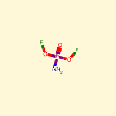 NP(=O)(OF)OF